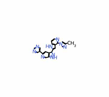 Cc1cn(-c2nccc3[nH]c(-c4n[nH]c5cnc(-c6cncnc6)cc45)cc23)cn1